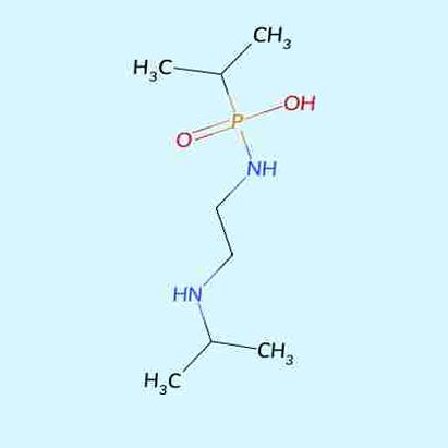 CC(C)NCCNP(=O)(O)C(C)C